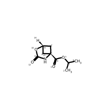 CC(C)OC(=O)[C@]12C[C@H](C1)OC(=O)N2